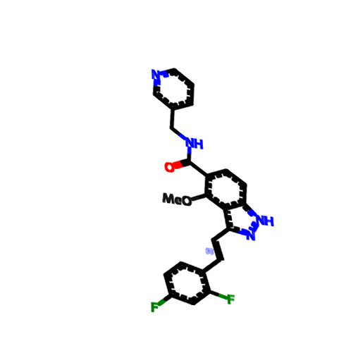 COc1c(C(=O)NCc2cccnc2)ccc2[nH]nc(/C=C/c3ccc(F)cc3F)c12